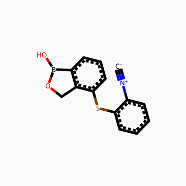 [C-]#[N+]c1ccccc1Sc1cccc2c1COB2O